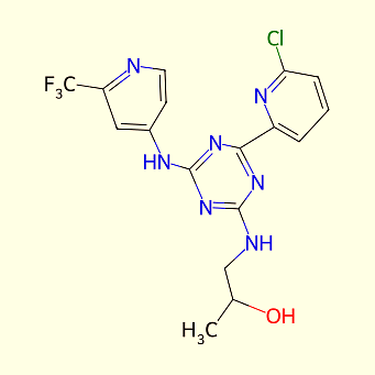 CC(O)CNc1nc(Nc2ccnc(C(F)(F)F)c2)nc(-c2cccc(Cl)n2)n1